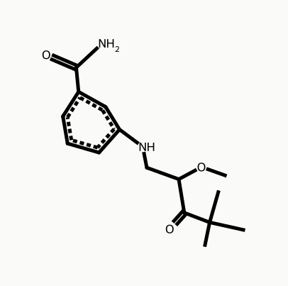 COC(CNc1cccc(C(N)=O)c1)C(=O)C(C)(C)C